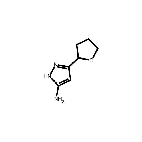 Nc1cc(C2CCCO2)n[nH]1